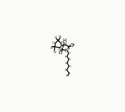 CCCCCCCCN1C(=O)N[N+]2(CC(C)(C)CC(C)(C)C2)C1=O